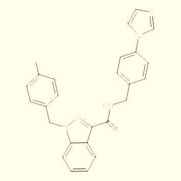 O=C(NCc1ccc(-n2ccnc2)cc1)c1nn(Cc2ccc(Cl)cc2)c2ccccc12